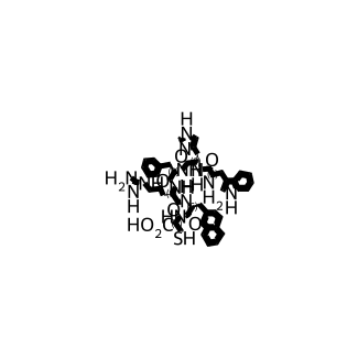 N=C(N)NCCC[C@H](NC(=O)[C@@H](Cc1ccccc1)NC(=O)[C@H](Cc1c[nH]cn1)NC(=O)[C@@H](N)Cc1c[nH]c2ccccc12)C(=O)N[C@@H](Cc1ccc2ccccc2c1)C(=O)N[C@H](CS)C(=O)O